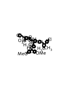 COc1ccc(C(c2ccc(OC)cc2)n2c(=O)n(C)c3c(Oc4cc(N5CCN(CC6=C(c7ccc(Cl)cc7)CC(C)(C)CC6)CC5)ccc4C(=O)NS(=O)(=O)c4ccc(NCC5CCOCC5)c([N+](=O)[O-])c4)cccc32)cc1